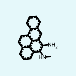 CNc1c(N)c2cc3ccccc3c3ccc4cccc1c4c23